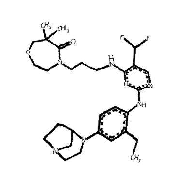 CCc1cc(N2CCN3CCC2C3)ccc1Nc1ncc(C(F)F)c(NCCCN2CCOCC(C)(C)C2=O)n1